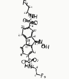 O=S(=O)(NCCF)c1ccc2c(c1)C(=NO)c1cc(S(=O)(=O)NCCF)ccc1-2